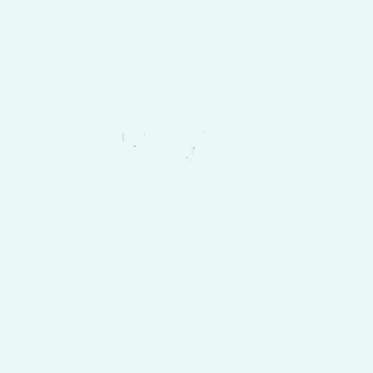 O=[PH](OP)c1ccccc1